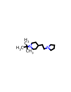 CC(C)(C)N1CCC(CCN2CCCC2)CC1